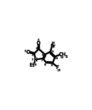 CCN1C(=O)C(=O)c2c1cc(F)c(C)c2Br